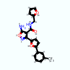 Nc1onc(-c2ccc(-c3cccc(C(F)(F)F)c3)o2)c1C(=O)NCc1ccco1